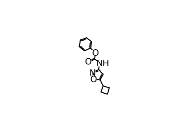 O=C(Nc1cc(C2CCC2)on1)Oc1ccccc1